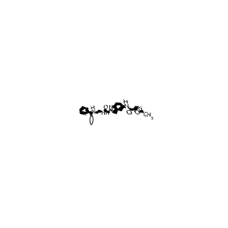 Cc1ncc(C(=O)Nc2ccc3nn(CC(=O)NCCNC(=O)c4ccccc4)cc3c2)o1